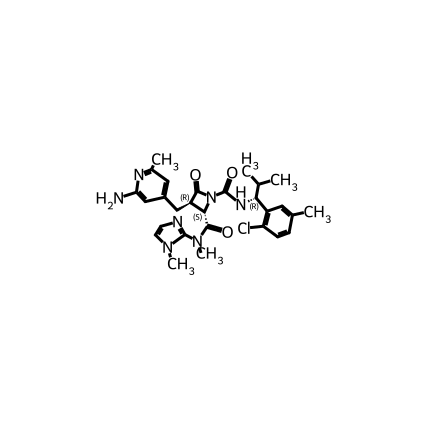 Cc1ccc(Cl)c([C@H](NC(=O)N2C(=O)[C@H](Cc3cc(C)nc(N)c3)[C@H]2C(=O)N(C)c2nccn2C)C(C)C)c1